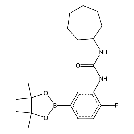 CC1(C)OB(c2ccc(F)c(NC(=O)NC3CCCCCC3)c2)OC1(C)C